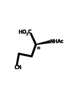 CC(=O)N[C@@H](CCC#N)C(=O)O